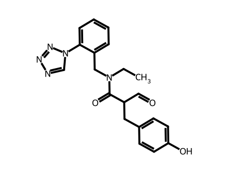 CCN(Cc1ccccc1-n1cnnn1)C(=O)C(C=O)Cc1ccc(O)cc1